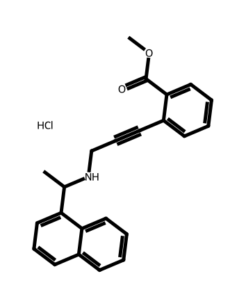 COC(=O)c1ccccc1C#CCNC(C)c1cccc2ccccc12.Cl